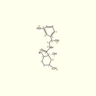 CC1CCC(C(C)C)[C@@](O)(C(=O)NCC(O)c2cccc(O)c2)C1